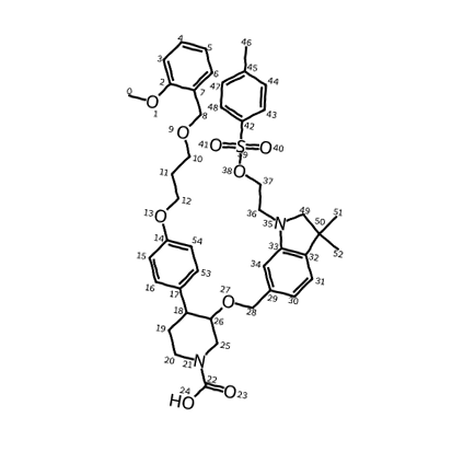 COc1ccccc1COCCCOc1ccc(C2CCN(C(=O)O)CC2OCc2ccc3c(c2)N(CCOS(=O)(=O)c2ccc(C)cc2)CC3(C)C)cc1